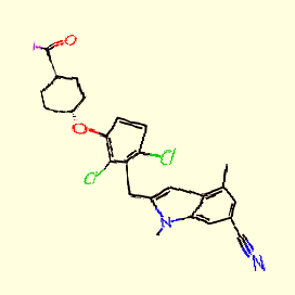 Cc1cc(C#N)cc2c1cc(Cc1c(Cl)ccc(O[C@H]3CC[C@H](C(=O)I)CC3)c1Cl)n2C